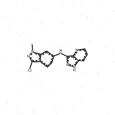 Cn1nc(Cl)c2ccc(Nc3n[nH]c4cccnc34)cc21